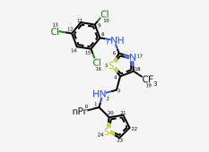 CCCC(NCc1sc(Nc2c(Cl)cc(Cl)cc2Cl)nc1C(F)(F)F)c1cccs1